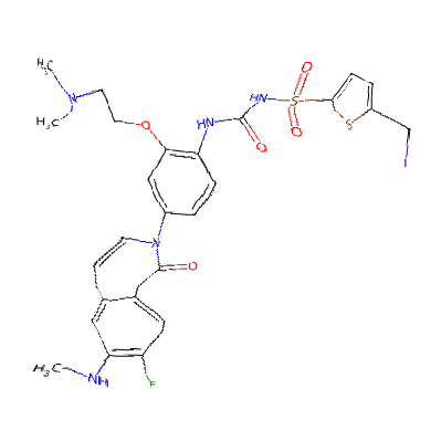 CNc1cc2ccn(-c3ccc(NC(=O)NS(=O)(=O)c4ccc(CI)s4)c(OCCN(C)C)c3)c(=O)c2cc1F